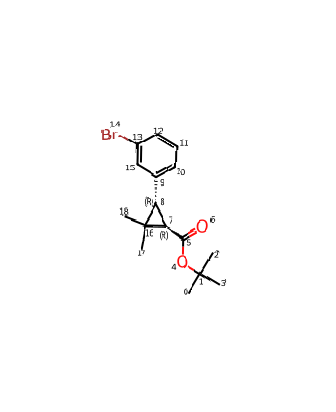 CC(C)(C)OC(=O)[C@@H]1[C@@H](c2cccc(Br)c2)C1(C)C